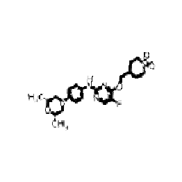 C[C@@H]1CN(c2ccc(Nc3ncc(F)c(OCC4CCS(=O)(=O)CC4)n3)cc2)C[C@H](C)O1